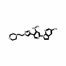 CC(C)Nc1cc(-n2ccc3cc(C#N)cnc32)ncc1-c1cn(CCN2CCOCC2)nn1